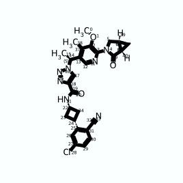 COc1c(N2C[C@H]3C[C@H]3C2=O)ncc([C@H](C)n2cc(C(=O)N[C@H]3C[C@@H](c4cc(Cl)ccc4C#N)C3)nn2)c1C